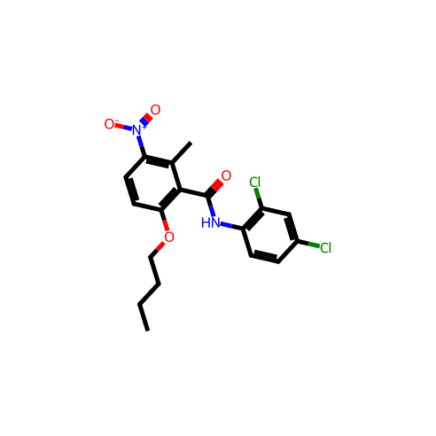 CCCCOc1ccc([N+](=O)[O-])c(C)c1C(=O)Nc1ccc(Cl)cc1Cl